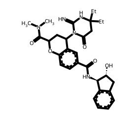 CCC1(CC)CC(=O)N(C2CC(C(=O)N(C)C)Oc3ccc(C(=O)N[C@@H]4c5ccccc5C[C@H]4O)cc32)C(=N)N1